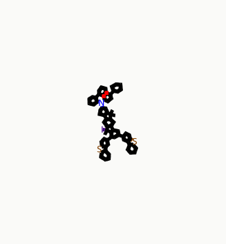 CC1(C)c2cc(N(c3ccc(-c4ccccc4)cc3)c3ccccc3-c3ccccc3)ccc2-c2cc3c(cc21)-c1cc(-c2ccc4sc5ccccc5c4c2)cc(-c2ccc4sc5ccccc5c4c2)c1C3(C)I